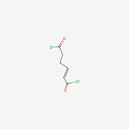 O=C(Cl)/C=C/CCC(=O)Cl